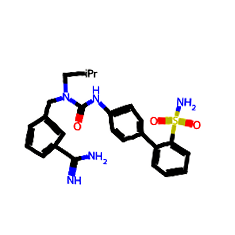 CC(C)CN(Cc1cccc(C(=N)N)c1)C(=O)Nc1ccc(-c2ccccc2S(N)(=O)=O)cc1